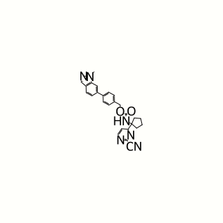 Cn1ncc2ccc(-c3ccc(COC(=O)NC4(c5ccnc(C#N)n5)CCCC4)cc3)cc21